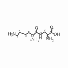 NCCCCC(N)C(=O)NCC(N)C(=O)O